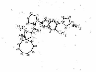 Cc1cn2nc([C@@H]3CCCCN3C(=O)C3CC4(CCCCCCCC4)NN3C)cc2nc1N1CC[C@H](N)C1